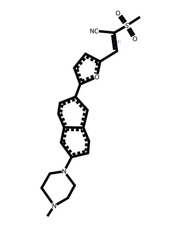 CN1CCN(c2ccc3cc(-c4ccc(/C=C(\C#N)S(C)(=O)=O)o4)ccc3c2)CC1